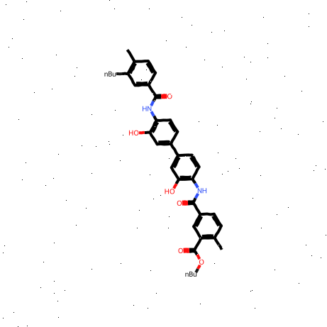 CCCCOC(=O)c1cc(C(=O)Nc2ccc(-c3ccc(NC(=O)c4ccc(C)c(CCCC)c4)c(O)c3)cc2O)ccc1C